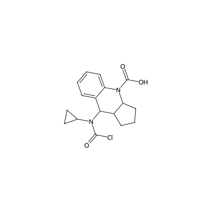 O=C(O)N1c2ccccc2C(N(C(=O)Cl)C2CC2)C2CCCC21